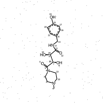 CN1CCN(C(=O)[C@H](O)[C@@H](O)C(=O)NCc2ccc(O)cc2)CC1